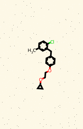 Cc1ccc(Cl)c(Cc2ccc(OCCOC3CC3)cc2)c1